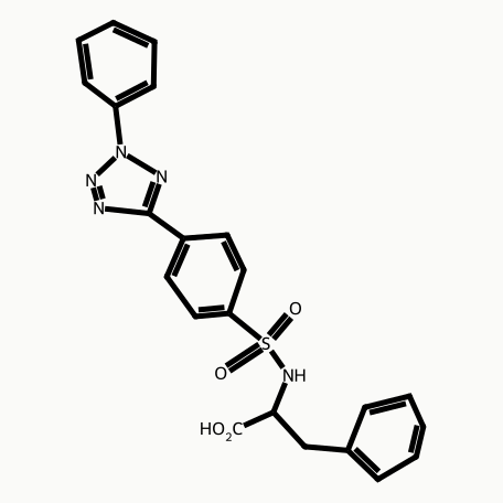 O=C(O)C(Cc1ccccc1)NS(=O)(=O)c1ccc(-c2nnn(-c3ccccc3)n2)cc1